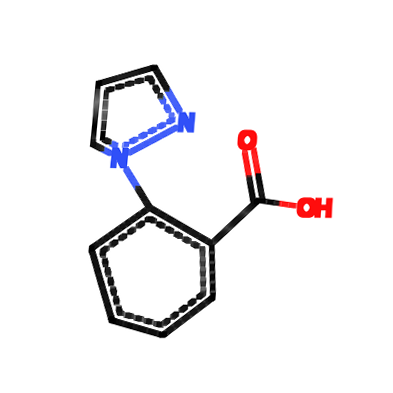 O=C(O)c1ccccc1-n1cccn1